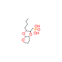 CCCCC(OC1CCCCO1)C(=O)CP(=O)(O)O